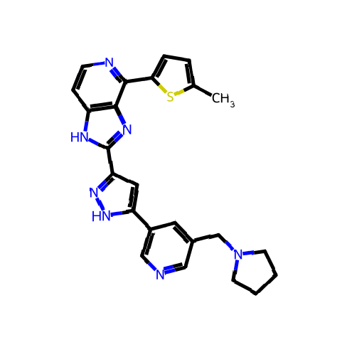 Cc1ccc(-c2nccc3[nH]c(-c4cc(-c5cncc(CN6CCCC6)c5)[nH]n4)nc23)s1